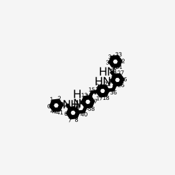 c1ccc(Nc2cccc3c2Nc2cc(Cc4ccc5c(c4)Nc4c(cccc4Nc4ccccc4)C5)ccc2C3)cc1